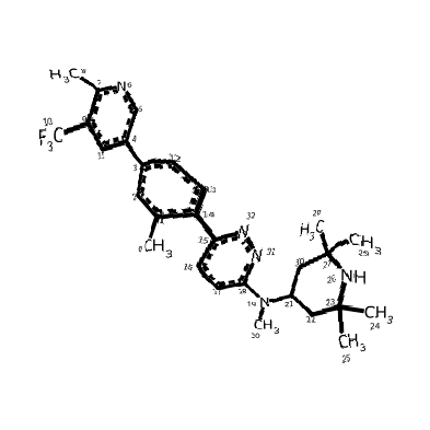 Cc1cc(-c2cnc(C)c(C(F)(F)F)c2)ccc1-c1ccc(N(C)C2CC(C)(C)NC(C)(C)C2)nn1